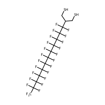 FC(F)(F)C(F)(F)C(F)(F)C(F)(F)C(F)(F)C(F)(F)C(F)(F)C(F)(F)C(F)(F)C(F)(F)C(F)(F)C(F)(F)C(CS)CS